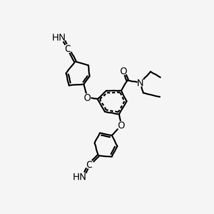 CCN(CC)C(=O)c1cc(OC2=CCC(=C=N)C=C2)cc(OC2=CCC(=C=N)C=C2)c1